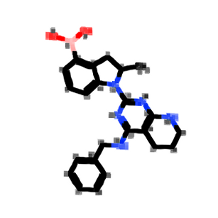 CC1Cc2c(B(O)O)cccc2N1c1nc2c(c(NCc3ccccc3)n1)CCCN2